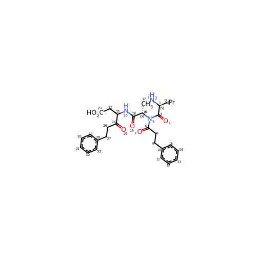 CC(C)[C@H](N)C(=O)N(C(=O)CCc1ccccc1)[C@@H](C)C(=O)NC(CC(=O)O)C(=O)CCc1ccccc1